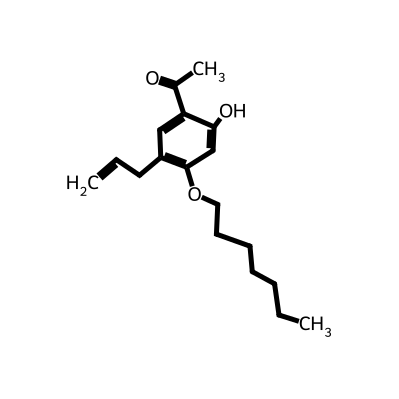 C=CCc1cc(C(C)=O)c(O)cc1OCCCCCCC